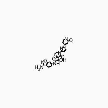 COc1cc(-n2ccc(N3CCO[C@H]([C@@](C)(O)C(=O)Nc4ccc5c(N)noc5c4)C3=O)n2)ccn1